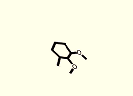 [CH2]C1CCCC(OC)C1OC